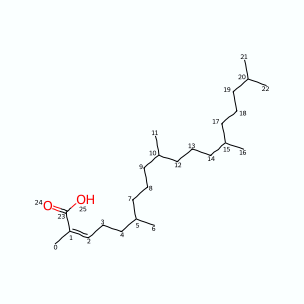 CC(=CCCC(C)CCCC(C)CCCC(C)CCCC(C)C)C(=O)O